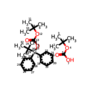 CC(C)(C)OC(=O)O.CC(C)(C)OC(=O)O[Si](c1ccccc1)(c1ccccc1)C(C)(C)C